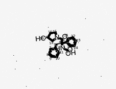 O=C(O)N[C@](Cc1ccccc1)(C(=O)N1CC[C@H](O)C1)c1ccccc1